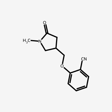 CN1CC(COc2ccccc2C#N)CC1=O